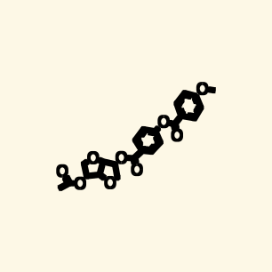 COc1ccc(C(=O)Oc2ccc(C(=O)O[C@H]3COC4C3OC[C@@H]4OC(C)=O)cc2)cc1